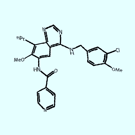 CCCc1c(OC)c(NC(=O)c2ccncc2)cc2c(NCc3ccc(OC)c(Cl)c3)ncnc12